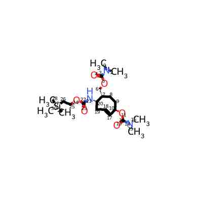 CN(C)C(=O)OC[C@@H]1CC[C@@H](OC(=O)N(C)C)/C=C/C[C@@H]1NC(=O)OCC[Si](C)(C)C